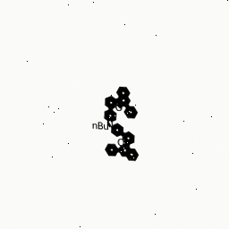 CCCCN(c1ccc(-c2cccc3c2oc2c(-c4ccccc4)cc4ccccc4c23)cc1)c1ccc(-c2cccc3c2oc2c(-c4ccccc4)cc4ccccc4c23)cc1